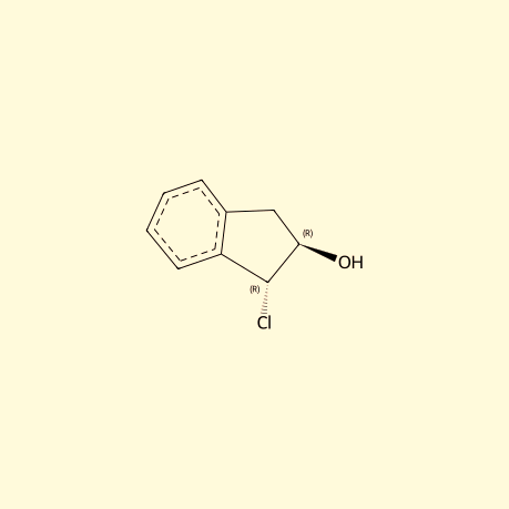 O[C@@H]1Cc2ccccc2[C@H]1Cl